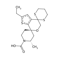 CCc1cc2c(s1)[C@]1(CCN(C(=O)O)[C@@H](C)C1)OCC21SCCCS1